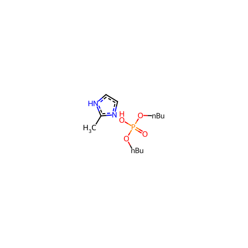 CCCCOP(=O)(O)OCCCC.Cc1ncc[nH]1